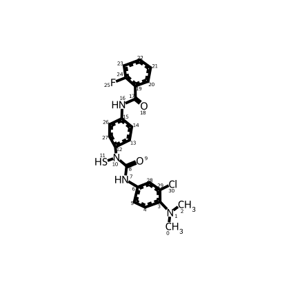 CN(C)c1ccc(NC(=O)N(S)c2ccc(NC(=O)c3ccccc3F)cc2)cc1Cl